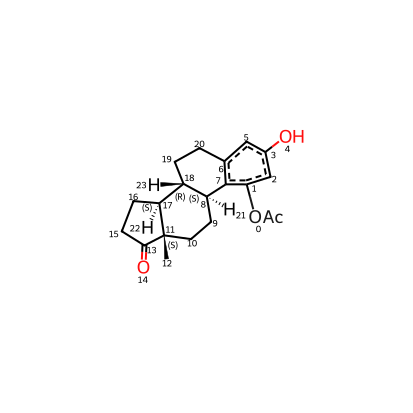 CC(=O)Oc1cc(O)cc2c1[C@H]1CC[C@]3(C)C(=O)CC[C@H]3[C@@H]1CC2